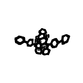 C1CCC(C2CCC(N(C3CCCCC3)C3C[C@@H]4C5CCCCC5OC4[C@H]4C3[C@H]3CCCCC3N4C3CCC(C4CCCCC4)CC3)CC2)CC1